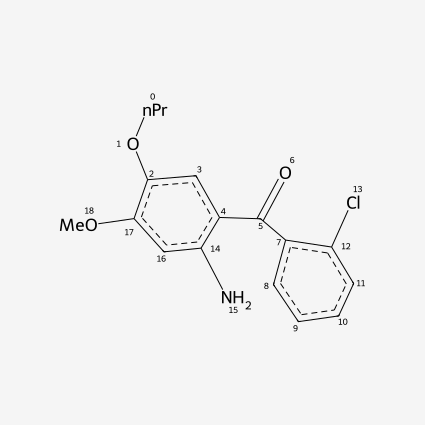 CCCOc1cc(C(=O)c2ccccc2Cl)c(N)cc1OC